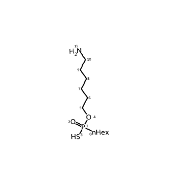 CCCCCCP(=O)(S)OCCCCCCN